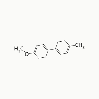 COC1=CC=C(C2=CC=C(C)CC2)CC1